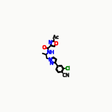 CC(=O)c1nc(C(=O)NC(C)Cn2ccc(-c3ccc(C#N)c(Cl)c3)n2)co1